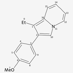 CCc1c(-c2ccc(OC)cc2)cn2ccccc12